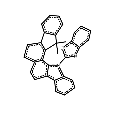 CC1(C)c2ccccc2-c2ccc3ccc4c5ccccc5n(-c5nc6ccccc6o5)c4c3c21